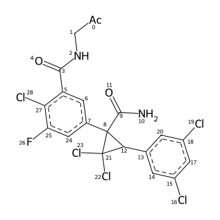 CC(=O)CNC(=O)c1cc(C2(C(N)=O)C(c3cc(Cl)cc(Cl)c3)C2(Cl)Cl)cc(F)c1Cl